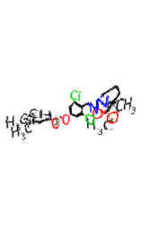 COC(=O)[C@@]1(C)CCCN1N=Cc1c(Cl)cc(OCOCC[Si](C)(C)C)cc1Cl